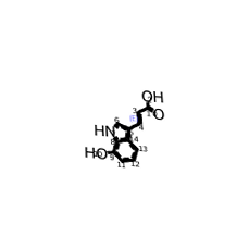 O=C(O)/C=C/c1c[nH]c2c(O)cccc12